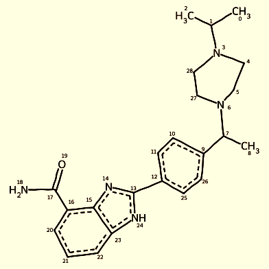 CC(C)N1CCN(C(C)c2ccc(-c3nc4c(C(N)=O)cccc4[nH]3)cc2)CC1